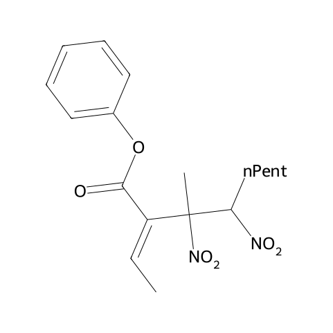 C/C=C(/C(=O)Oc1ccccc1)C(C)(C(CCCCC)[N+](=O)[O-])[N+](=O)[O-]